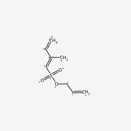 C=CCOS(=O)(=O)/C=C(\C)C=C